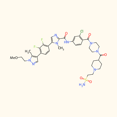 COCCn1ncc(-c2ccc(-c3cnc(C(=O)Nc4ccc(C(=O)N5CCN(C(=O)C6CCN(CCS(N)(=O)=O)CC6)CC5)c(Cl)c4)n3C)c(F)c2F)c1C